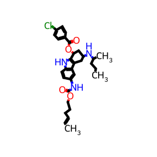 CC=CCCCOC(=O)Nc1ccc2[nH]c3c(c2c1)CC(NC(C)CCC)CC3OC(=O)c1ccc(Cl)cc1